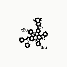 CC(C)(C)c1ccc(N2B3c4cc5cc(-c6ccccc6)n(-c6ccccc6)c5cc4-n4c5ccc(C(C)(C)C)cc5c5c6oc7ccccc7c6c(c3c54)-c3cc4oc5cc6c(cc5c4cc32)C(C)(C)CCC6(C)C)cc1